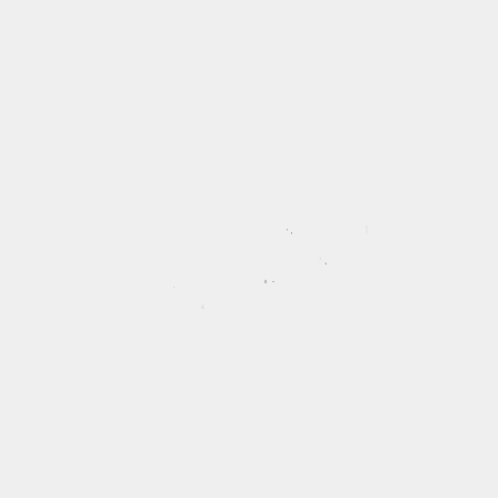 CCCCc1nc(Cl)c(C=O)n1Cc1ccc(C2(OC(C)=O)CCCC2)cc1